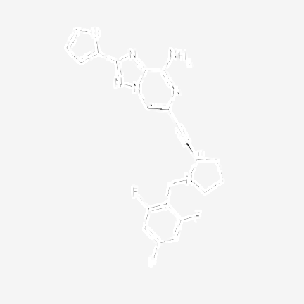 Nc1nc(C#C[C@H]2CCCN2Cc2c(F)cc(F)cc2F)cn2nc(-c3ccco3)nc12